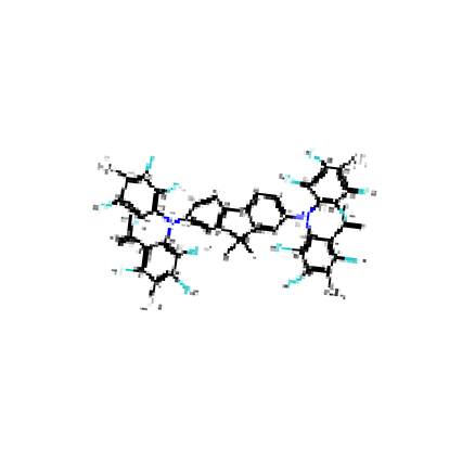 C=C(C)c1c(F)c(C(F)(F)F)c(F)c(F)c1N(c1ccc2c(c1)C(C)(C)c1cc(N(c3c(F)c(F)c(C(F)(F)F)c(F)c3F)c3c(F)c(F)c(C(F)(F)F)c(F)c3C(=C)C)ccc1-2)c1c(F)c(F)c(C(F)(F)F)c(F)c1F